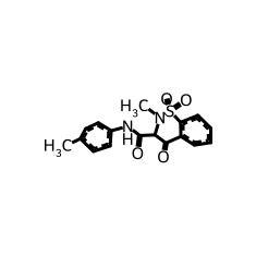 Cc1ccc(NC(=O)C2C(=O)c3ccccc3S(=O)(=O)N2C)cc1